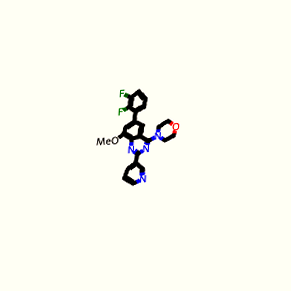 COc1cc(-c2cccc(F)c2F)cc2c(N3CCOCC3)nc(-c3cccnc3)nc12